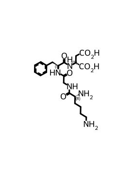 NCCCC[C@@H](N)C(=O)NCC(=O)N[C@@H](Cc1ccccc1)C(=O)N[C@@H](CC(=O)O)C(=O)O